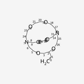 C=CC1COCCN2CCOCCOCCN(CCOCCOCC2)CCO1